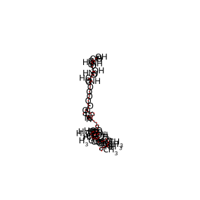 CC[C@H](C)[C@@H]([C@@H](CC(=O)N1CCC([C@H](OC)[C@@H](C)C(=O)N[C@H](C)[C@@H](O)c2ccccc2)C1)OC)N(C)C(=O)[C@@H](NC(=O)[C@H](C(C)C)N(C)P(=O)(O)OC[C@H](NC(=O)c1ccc(CCCCCn2nnc3c2-c2ccccc2CN(C(=O)CCC(=O)CCOCCOCCOCCOCCC(=O)N[C@@H](CCC(=O)N[C@H](CCCOP(=O)(O)N[C@@H](CCC(=O)O)C(=O)O)C(=O)O)C(=O)O)c2ccccc2-3)cc1)C(=O)O)C(C)C